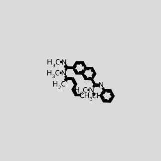 C=C(/C=C\C=C/C)N(C)/C(=N\C)c1ccc2ccc(/C(=N/c3ccccc3)N(C)C)cc2c1